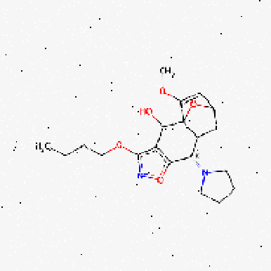 CCCCOc1noc2c1C(O)C13OC(C=C1OC)CC3[C@@H]2N1CCCC1